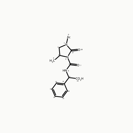 CC(=O)N1CC(C)N(C(=O)NC(C(=O)O)c2ccccc2)C1=O